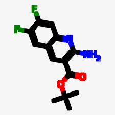 CC(C)(C)OC(=O)c1cc2cc(F)c(F)cc2nc1N